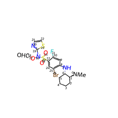 CN[C@H]1CCCC[C@@H]1Nc1cc(F)c(S(=O)(=O)N(OC=O)c2nccs2)cc1Br